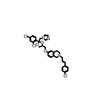 Clc1ccc(/C=C/CN2CCc3cc(OCC4COC(Cn5ccnc5)(c5ccc(Cl)cc5Cl)O4)ccc3C2)cc1